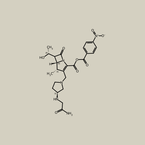 C[C@@H](O)C1C(=O)N2C(C(=O)OC(=O)c3ccc([N+](=O)[O-])cc3)=C(CN3CC[C@H](NCC(N)=O)C3)[C@H](C)[C@H]12